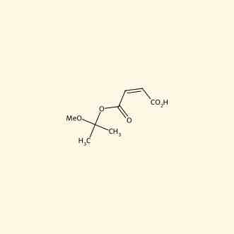 COC(C)(C)OC(=O)/C=C\C(=O)O